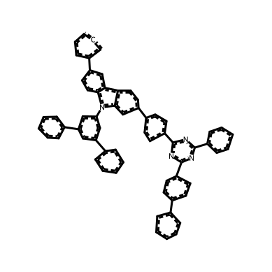 c1ccc(-c2ccc(-c3nc(-c4ccccc4)nc(-c4ccc(-c5ccc6c7cc(-c8ccccc8)ccc7n(-c7cc(-c8ccccc8)cc(-c8ccccc8)c7)c6c5)cc4)n3)cc2)cc1